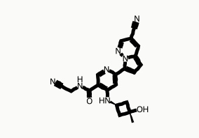 C[C@]1(O)C[C@H](Nc2cc(-c3ccc4cc(C#N)cnn34)ncc2C(=O)NCC#N)C1